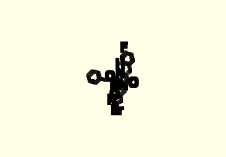 O=C(N[C@@H](Cc1ccc(F)cc1)C(=O)NCC1CC(Br)=NO1)OCc1ccccc1